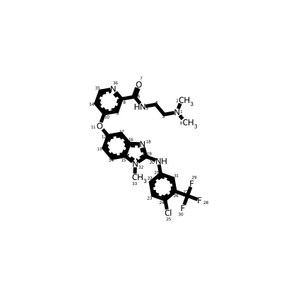 CN(C)CCNC(=O)c1cc(Oc2ccc3c(c2)nc(Nc2ccc(Cl)c(C(F)(F)F)c2)n3C)ccn1